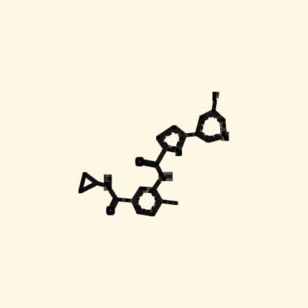 Cc1ccc(C(=O)NC2CC2)cc1NC(=O)c1ccc(-c2cncc(F)c2)s1